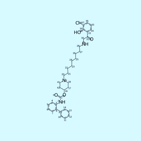 O=C(Nc1ccccc1-c1ccccc1)OC1CCN(CCCCCCCCCNCC(=O)c2cccc(Cl)c2O)CC1